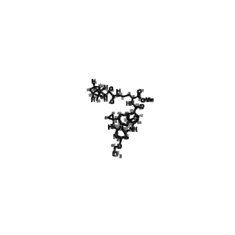 COC(=O)[C@H](CCNC(=O)C(=O)N[C@H]1C[C@H]2C[C@@H]([C@H]1C)C2(C)C)NC(=O)c1ccc(Nc2nc(NC3(c4ccc(Cl)cc4)CC3)nc(OCC(F)(F)F)n2)cc1